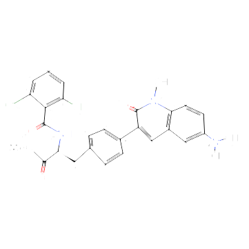 COC(=O)[C@H](Cc1ccc(-c2cc3cc(N(C)C)ccc3n(C)c2=O)cc1)NC(=O)c1c(Cl)cccc1Cl